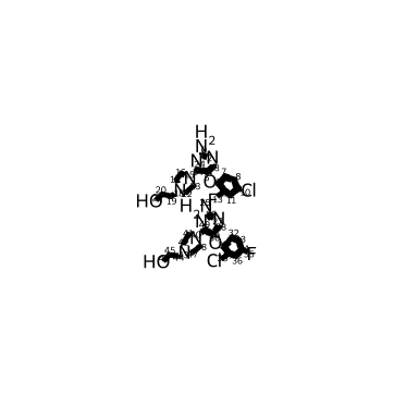 Nc1ncc(Oc2ccc(Cl)cc2F)c(N2CCN(CCO)CC2)n1.Nc1ncc(Oc2ccc(F)cc2Cl)c(N2CCN(CCO)CC2)n1